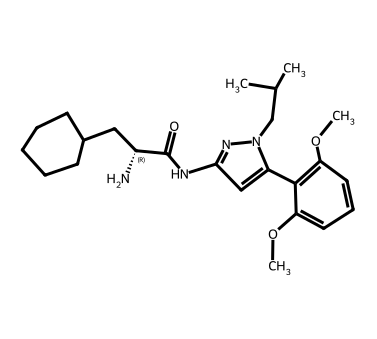 COc1cccc(OC)c1-c1cc(NC(=O)[C@H](N)CC2CCCCC2)nn1CC(C)C